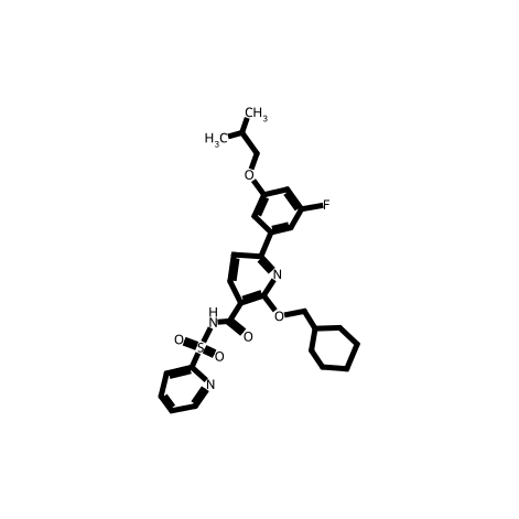 CC(C)COc1cc(F)cc(-c2ccc(C(=O)NS(=O)(=O)c3ccccn3)c(OCC3CCCCC3)n2)c1